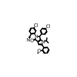 COc1ccccc1-c1cc2c(n1C(C)C)C(c1ccc(Cl)cc1)N(c1cc(Cl)ccc1C#N)C2=O